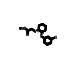 COC(=O)CS[C@@H]1CCCC[C@H]1Sc1cccc(Cl)c1